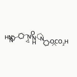 CC(C)(Oc1cccc(N2CCC[C@@H](NC(=O)N(Cc3ccc(-c4cn[nH]c4)cc3)C3CC3)C2)c1)C(=O)O